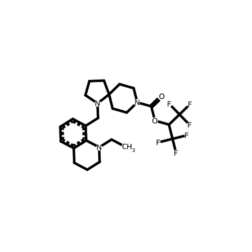 CCN1CCCc2cccc(CN3CCCC34CCN(C(=O)OC(C(F)(F)F)C(F)(F)F)CC4)c21